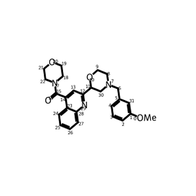 COc1cccc(CN2CCOC(c3cc(C(=O)N4CCOCC4)c4ccccc4n3)C2)c1